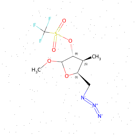 COC1O[C@H](CN=[N+]=[N-])[C@H](C)[C@H]1OS(=O)(=O)C(F)(F)F